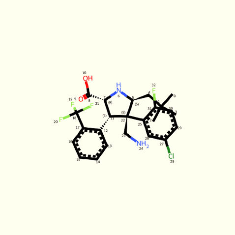 CC(C)(C)C[C@@H]1N[C@@H](C(=O)O)[C@@H](c2ccccc2C(F)(F)F)[C@@]1(CN)c1cc(Cl)ccc1F